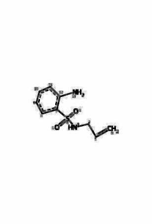 C=CCNS(=O)(=O)c1ccccc1N